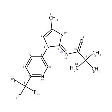 Cc1cn(-c2ccc(C(F)(F)F)nc2)/c(=N/C(=O)C(C)(C)C)s1